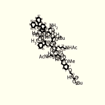 COC(=O)C(Cc1ccc(OCCNC(=O)OC(C)(C)C)cc1)NC(=O)[C@@H](NC(=O)[C@H](CCCCNC(C)=O)NC(=O)[C@H](Cc1c[nH]c2c(C)cccc12)NC(=O)[C@@H](NC(=O)[C@H](CC(N)=O)NC(=O)[C@@H](NC(C)O)C(C)(C)SC(c1ccccc1)(c1ccccc1)c1ccccc1)C(C)OC(C)(C)C)C(C)(C)SCNC(C)=O